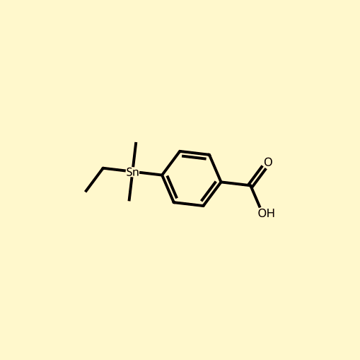 C[CH2][Sn]([CH3])([CH3])[c]1ccc(C(=O)O)cc1